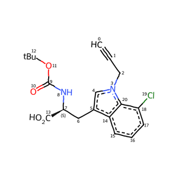 C#CCn1cc(C[C@H](NC(=O)OC(C)(C)C)C(=O)O)c2cccc(Cl)c21